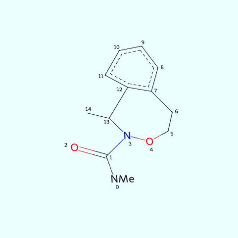 CNC(=O)N1OCCc2ccccc2C1C